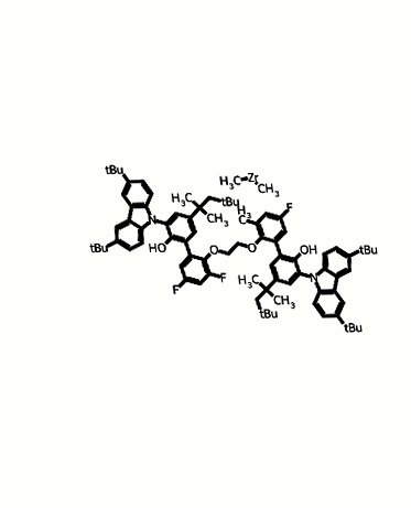 Cc1cc(F)cc(-c2cc(C(C)(C)CC(C)(C)C)cc(-n3c4ccc(C(C)(C)C)cc4c4cc(C(C)(C)C)ccc43)c2O)c1OCCOc1c(F)cc(F)cc1-c1cc(C(C)(C)CC(C)(C)C)cc(-n2c3ccc(C(C)(C)C)cc3c3cc(C(C)(C)C)ccc32)c1O.[CH3][Zr][CH3]